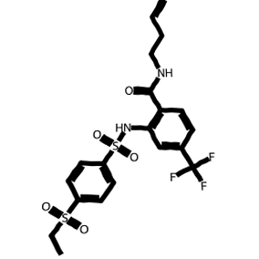 C=CCCNC(=O)c1ccc(C(F)(F)F)cc1NS(=O)(=O)c1ccc(S(=O)(=O)CC)cc1